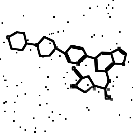 C[C@H](Oc1cc(-c2ccc(N3CCN(C4CCOCC4)CC3)cn2)cc2ncsc12)[C@@H]1CNC(=O)C1